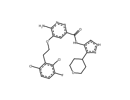 Nc1nnc(C(=O)Nc2c[nH]nc2C2CCOCC2)cc1OCCc1c(Cl)ccc(F)c1Cl